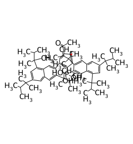 CC(=O)c1ccc(P(O)(O)(O)c2cc3c(C(C)(C)C(C)C)cc(C(C)(C)C(C)C)cc3cc2C(C)(C)C(C)C)c(-c2cc3c(C(C)(C)C(C)C)cc(C(C)(C)C(C)C)cc3cc2C(C)(C)C(C)C)c1